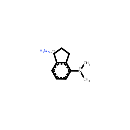 C[SiH](C)c1cccc2c1CC[C@H]2N